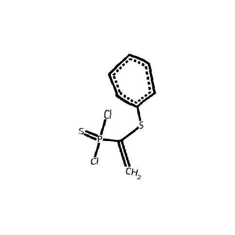 C=C(Sc1ccccc1)P(=S)(Cl)Cl